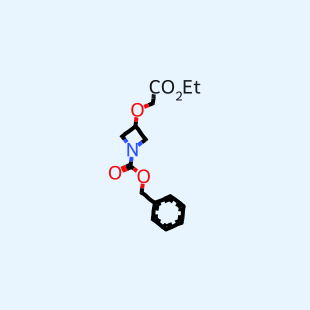 CCOC(=O)COC1CN(C(=O)OCc2ccccc2)C1